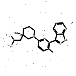 CC(C)C[C@]1(O)CCCN(c2ccc(F)c(-c3n[nH]c4ncccc34)n2)C1